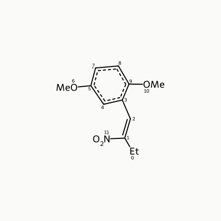 CCC(=Cc1cc(OC)[c]cc1OC)[N+](=O)[O-]